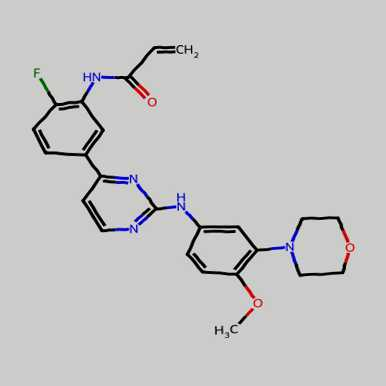 C=CC(=O)Nc1cc(-c2ccnc(Nc3ccc(OC)c(N4CCOCC4)c3)n2)ccc1F